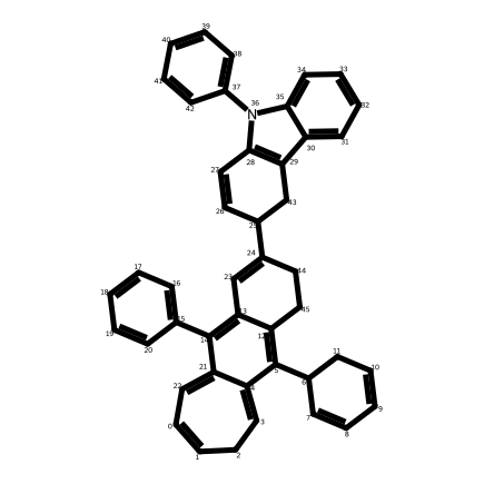 C1=CCC=c2c(C3C=CC=CC3)c3c(c(-c4ccccc4)c2=C1)C=C(C1C=Cc2c(c4ccccc4n2-c2ccccc2)C1)CC3